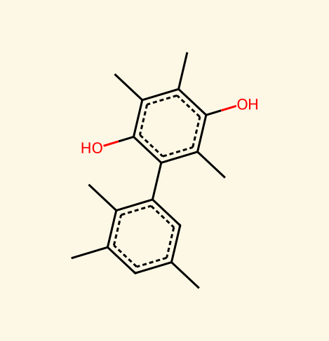 Cc1cc(C)c(C)c(-c2c(C)c(O)c(C)c(C)c2O)c1